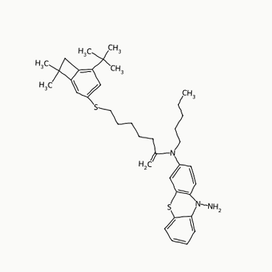 C=C(CCCCCSc1cc(C(C)(C)C)c2c(c1)C(C)(C)C2)N(CCCCC)c1ccc2c(c1)Sc1ccccc1N2N